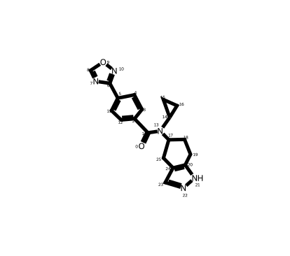 O=C(c1ccc(-c2ncon2)cc1)N(C1CC1)C1CCc2[nH]ncc2C1